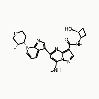 CNc1cc(-c2cnc3n([C@H]4CCOC[C@H]4F)cccc2-3)nc2c(C(=O)N[C@@H]3CC[C@@H]3O)cnn12